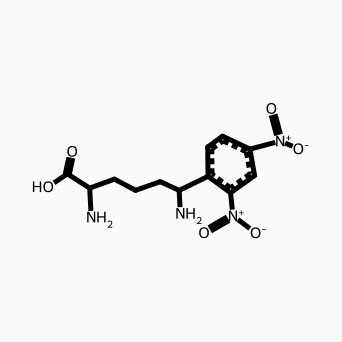 NC(CCCC(N)c1ccc([N+](=O)[O-])cc1[N+](=O)[O-])C(=O)O